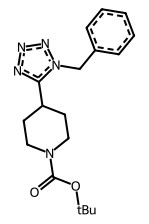 CC(C)(C)OC(=O)N1CCC(c2nnnn2Cc2ccccc2)CC1